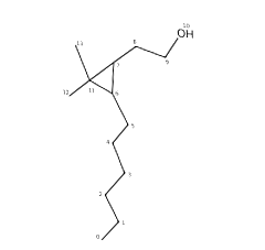 CCCCCCC1C(CCO)C1(C)C